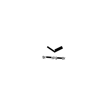 C=[C]C.[Br][Mg][Br]